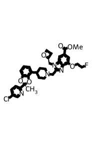 COC(=O)c1cc(OCCF)c2nc(CN3CCC(c4cccc5c4O[C@@](C)(c4ccc(Cl)cn4)O5)CC3)n(C[C@@H]3CCO3)c2c1